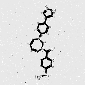 COc1ccc(C(=O)N2C=CC=CN(c3ccc(-c4cn[nH]c4)cc3)C2)cc1